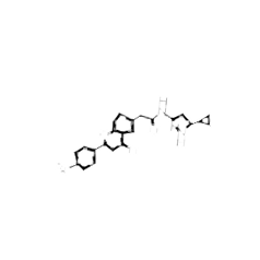 O=C(Cc1ccc2oc(-c3ccc(Br)cc3)cc(=O)c2c1)Nc1cc(C2CC2)[nH]n1